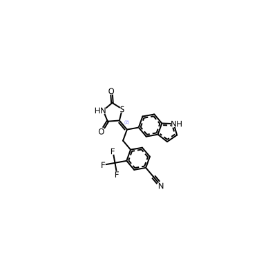 N#Cc1ccc(C/C(=C2/SC(=O)NC2=O)c2ccc3[nH]ccc3c2)c(C(F)(F)F)c1